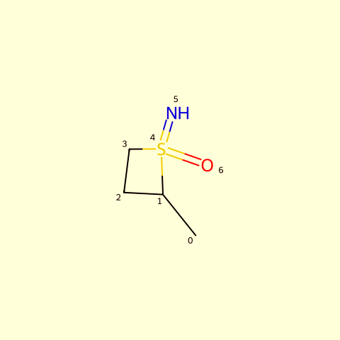 CC1CCS1(=N)=O